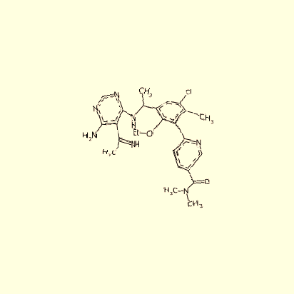 CCOc1c(C(C)Nc2ncnc(N)c2C(C)=N)cc(Cl)c(C)c1-c1ccc(C(=O)N(C)C)cn1